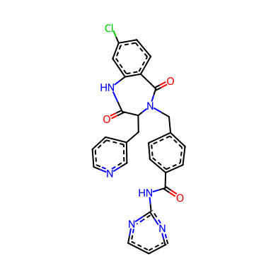 O=C(Nc1ncccn1)c1ccc(CN2C(=O)c3ccc(Cl)cc3NC(=O)C2Cc2cccnc2)cc1